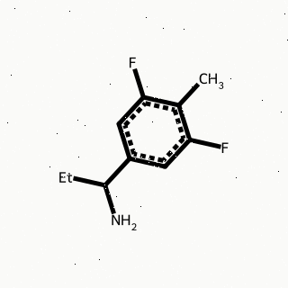 CCC(N)c1cc(F)c(C)c(F)c1